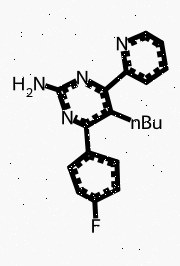 CCCCc1c(-c2ccc(F)cc2)nc(N)nc1-c1ccccn1